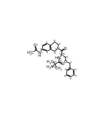 CC(=O)Nc1ccc2c(c1)CN(C(=O)[C@@H](COCc1ccccc1)NC(=O)C(C)(C)N)CC2